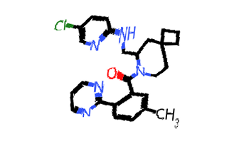 Cc1ccc(-c2ncccn2)c(C(=O)N2CCC3(CCC3)CC2CNc2ccc(Cl)cn2)c1